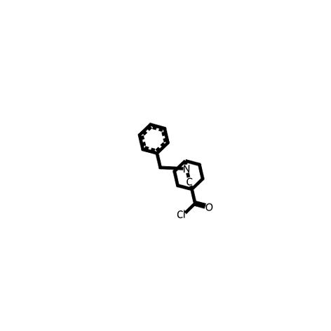 O=C(Cl)C12CCC(CC1)N(Cc1ccccc1)C2